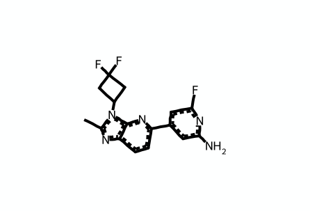 Cc1nc2ccc(-c3cc(N)nc(F)c3)nc2n1C1CC(F)(F)C1